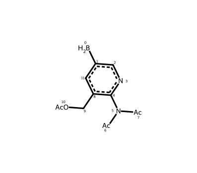 Bc1cnc(N(C(C)=O)C(C)=O)c(COC(C)=O)c1